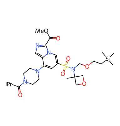 COC(=O)c1ncc2c(N3CCN(C(=O)C(C)C)CC3)cc(S(=O)(=O)N(COCC[Si](C)(C)C)C3(C)COC3)cn12